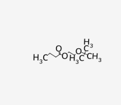 CCCC(=O)OCCOC(C)(C)C